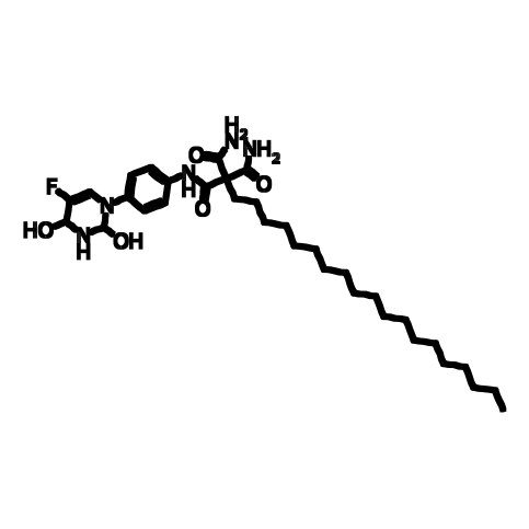 CCCCCCCCCCCCCCCCCCCC(C(N)=O)(C(N)=O)C(=O)Nc1ccc(N2C=C(F)C(O)NC2O)cc1